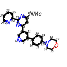 CNc1cc(-c2cncc(-c3ccc(N4CCOCC4)cc3)c2)nc(-c2ccccn2)n1